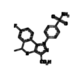 CC1Sc2c(C(=O)O)nn(-c3ccc(S(N)(=O)=O)cc3)c2-c2ccc(F)cc21